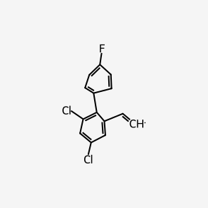 [CH]=Cc1cc(Cl)cc(Cl)c1-c1ccc(F)cc1